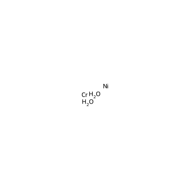 O.O.[Cr].[Ni]